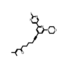 CC(C)=CC(=O)CCCCC#Cc1cc(-c2cnc(I)nc2)nc(N2CCOCC2)c1